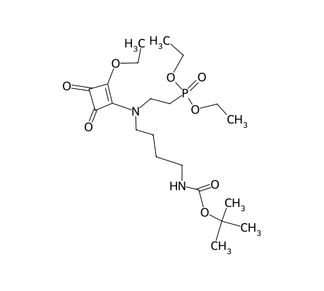 CCOc1c(N(CCCCNC(=O)OC(C)(C)C)CCP(=O)(OCC)OCC)c(=O)c1=O